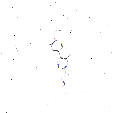 Cc1nc(NN=CC(F)(F)F)cnc1-c1cnc(O[C@H](C)C(F)(F)F)c(F)c1